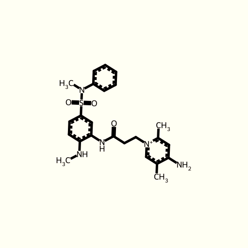 CNc1ccc(S(=O)(=O)N(C)c2ccccc2)cc1NC(=O)CC[n+]1cc(C)c(N)cc1C